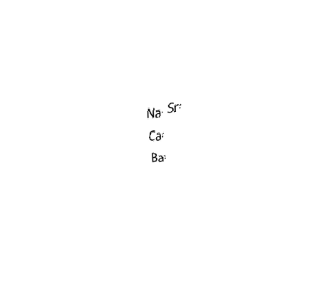 [Ba].[Ca].[Na].[Sr]